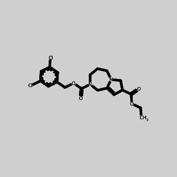 CCOC(=O)C1C=C2CN(C(=O)OCc3cc(Cl)cc(Cl)c3)CCCN2C1